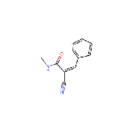 CNC(=O)C(C#N)=Cc1c[c]ccc1